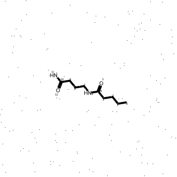 CCCCC(=O)NCCCC([NH])=O